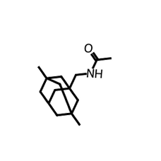 CC(=O)NCC12CC3CC(C)(CC(C)(C3)C1)C2